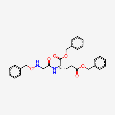 O=C(CNOCc1ccccc1)N[C@@H](CCC(=O)OCc1ccccc1)C(=O)OCc1ccccc1